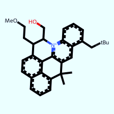 COCCC1c2ccc3cccc4c3c2-c2c(cc3c(CC(C)(C)C)cccc3[n+]2C1CO)C4(C)C